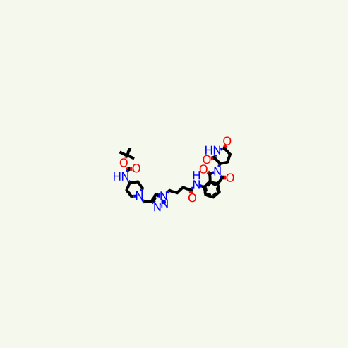 CC(C)(C)OC(=O)NC1CCN(Cc2cn(CCCC(=O)Nc3cccc4c3C(=O)N(C3CCC(=O)NC3=O)C4=O)nn2)CC1